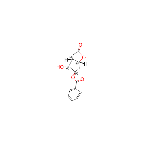 O=C1C[C@H]2[C@@H](O)[C@H](OC(=O)c3ccccc3)C[C@H]2O1